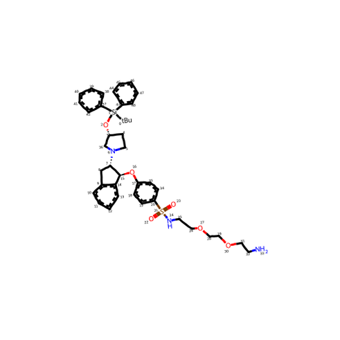 CC(C)(C)[Si](O[C@@H]1CCN([C@H]2Cc3ccccc3[C@@H]2Oc2ccc(S(=O)(=O)NCCOCCOCCN)cc2)C1)(c1ccccc1)c1ccccc1